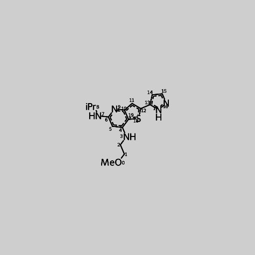 COCCNc1cc(NC(C)C)nc2cc(-c3ccn[nH]3)sc12